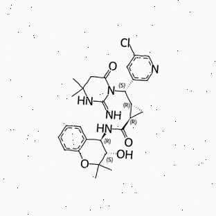 CC1(C)CC(=O)N([C@H](c2cncc(Cl)c2)[C@@H]2C[C@H]2C(=O)N[C@@H]2c3ccccc3OC(C)(C)[C@H]2O)C(=N)N1